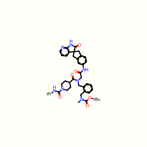 CC(C)NC(=O)N1CCC(C(=O)N(CC(=O)Nc2ccc3c(c2)CC2(C3)C(=O)Nc3ncccc32)Cc2ccccc2CN(C)C(=O)OC(C)(C)C)CC1